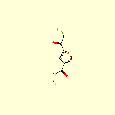 CN(C)C(=O)c1csc(C(=O)CBr)c1